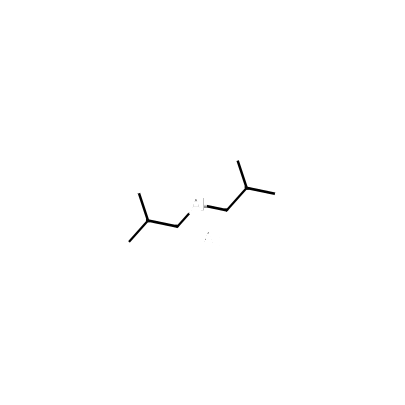 CC(C)[CH2][Al][CH2]C(C)C.[Al]